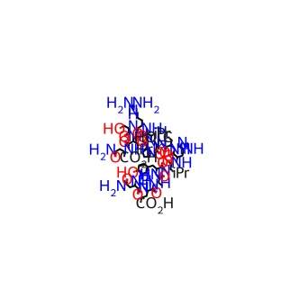 CC(C)CC(NC(=O)C(CO)NC(=O)C(CCCN=C(N)N)NC(=O)C(NC(=O)C1CCCN1C(=O)C(C)NC(=O)C(CC(=O)O)NC(=O)C(Cc1cnc[nH]1)NC(=O)C(NC(=O)C(Cc1ccc(O)cc1)NC(=O)C(C)NC(=O)C(CCC(=O)O)NC(=O)C(N)CC(N)=O)C(C)C)C(C)C)C(=O)NC(CC(N)=O)C(=O)O